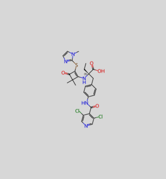 CC[C@@](Cc1ccc(NC(=O)c2c(Cl)cncc2Cl)cc1)(NC1=C(Sc2nccn2C)C(=O)C1(C)C)C(=O)O